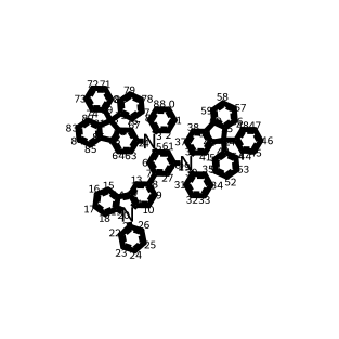 c1ccc(N(c2cc(-c3ccc4c(c3)c3ccccc3n4-c3ccccc3)cc(N(c3ccccc3)c3ccc4c(c3)C(c3ccccc3)(c3ccccc3)c3ccccc3-4)c2)c2ccc3c(c2)C(c2ccccc2)(c2ccccc2)c2ccccc2-3)cc1